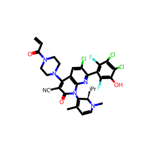 C=CC(=O)N1CCN(c2c(C#N)c(=O)n(C3=C(C)C=CN(C)[C@@H]3C(C)C)c3nc(-c4c(F)c(O)c(Cl)c(Cl)c4F)c(Cl)cc23)CC1